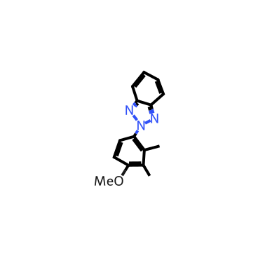 COc1ccc(-n2nc3ccccc3n2)c(C)c1C